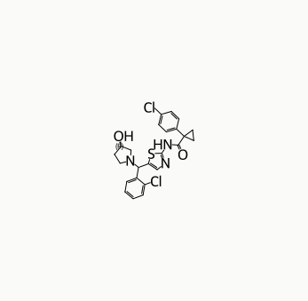 O=C(Nc1ncc(C(c2ccccc2Cl)N2CC[C@@H](O)C2)s1)C1(c2ccc(Cl)cc2)CC1